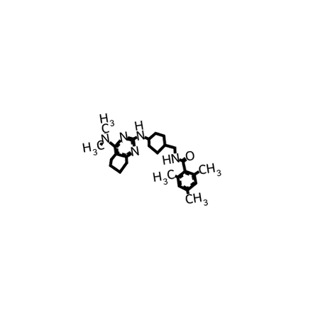 Cc1cc(C)c(C(=O)NCC2CCC(Nc3nc4c(c(N(C)C)n3)CCCC4)CC2)c(C)c1